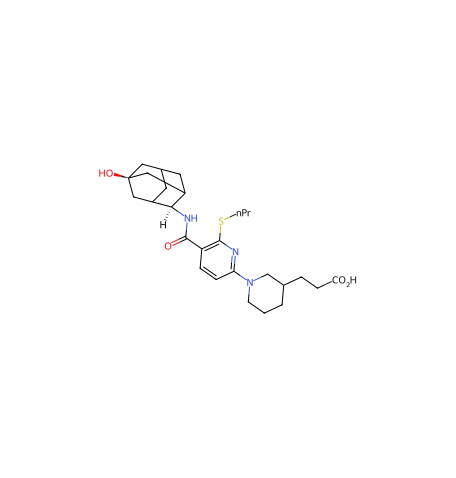 CCCSc1nc(N2CCCC(CCC(=O)O)C2)ccc1C(=O)N[C@H]1C2CC3CC1C[C@@](O)(C3)C2